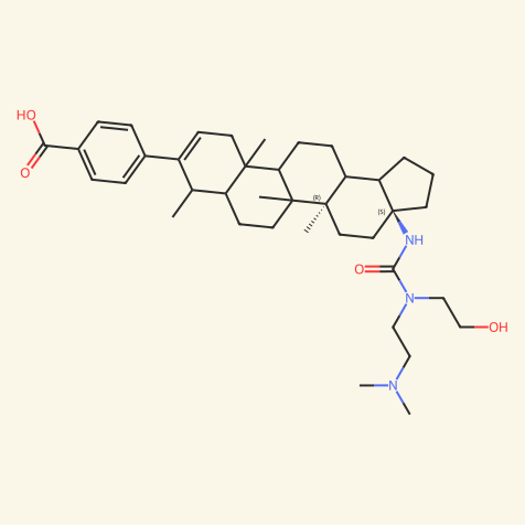 CC1C(c2ccc(C(=O)O)cc2)=CCC2(C)C1CCC1(C)C2CCC2C3CCC[C@]3(NC(=O)N(CCO)CCN(C)C)CC[C@]21C